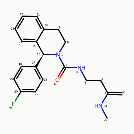 C=C(CCNC(=O)N1CCc2ccccc2[C@@H]1c1ccc(F)cc1)NC